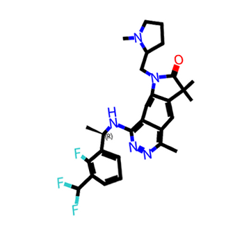 Cc1nnc(N[C@H](C)c2cccc(C(F)F)c2F)c2cc3c(cc12)C(C)(C)C(=O)N3CC1CCCN1C